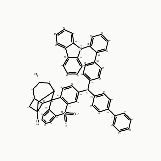 C[C@H]1CC2C[C@@H]3CC(C1)C1(c4ccccc4S(=O)(=O)c4cc(N(c5ccc(-c6ccccc6)cc5)c5ccc(-c6ccccc6-n6c7ccccc7c7ccccc76)cc5)ccc41)C23